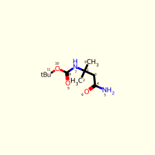 CC(C)(CC(N)=O)NC(=O)OC(C)(C)C